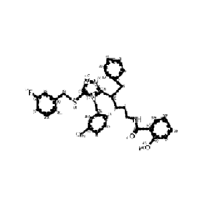 O=C(NCCCC(Cc1ccccc1)c1nnc(SCc2cccc(F)c2)n1-c1cccc(Cl)c1)c1ccccc1O